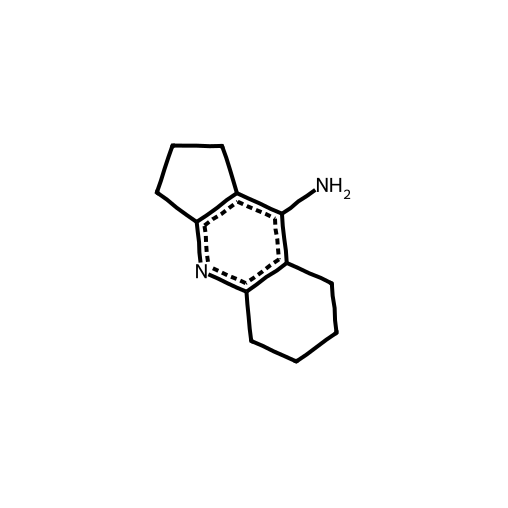 Nc1c2c(nc3c1CCC3)CCCC2